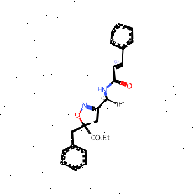 CCOC(=O)C1(Cc2ccccc2)CC([C@@H](NC(=O)/C=C/c2ccccc2)C(C)C)=NO1